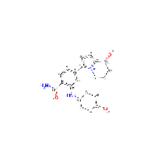 NC(=O)c1ccc(-c2ccc3n2CCCC3=O)cc1NC1CCC(O)CC1